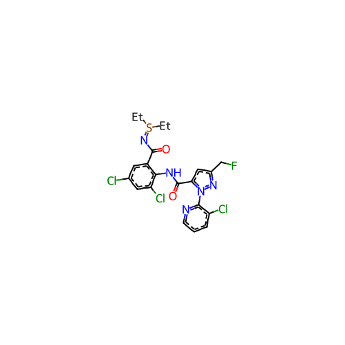 CCS(CC)=NC(=O)c1cc(Cl)cc(Cl)c1NC(=O)c1cc(CF)nn1-c1ncccc1Cl